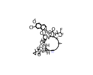 CC[C@@H]1C[C@@H](C)CC/C=C\[C@@H]2C[C@@]2(C(=O)NS(=O)(=O)C2(C)CC2)NC(=O)[C@@H]2C[C@@H](Oc3nccc4cc(OC)c(Cl)cc34)CN2C(=O)[C@H]1N(C(=O)O)C(C)(C)C(F)F